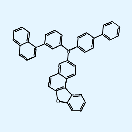 c1ccc(-c2ccc(N(c3cccc(-c4cccc5ccccc45)c3)c3ccc4c(ccc5oc6ccccc6c54)c3)cc2)cc1